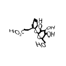 O=C(O)/C=C/c1ccccc1OC1OC(CO)C(O)C(O)C1O